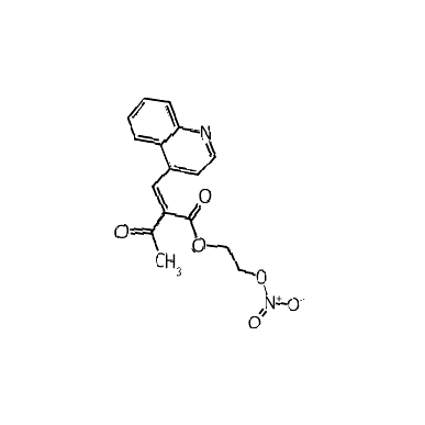 CC(=O)C(=Cc1ccnc2ccccc12)C(=O)OCCO[N+](=O)[O-]